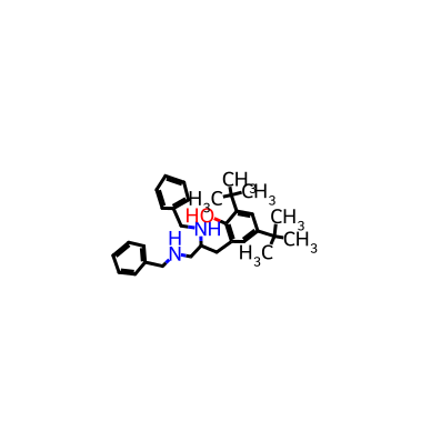 CC(C)(C)c1cc(CC(CNCc2ccccc2)NCc2ccccc2)c(O)c(C(C)(C)C)c1